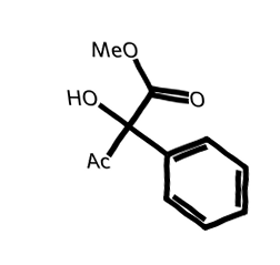 COC(=O)C(O)(C(C)=O)c1ccccc1